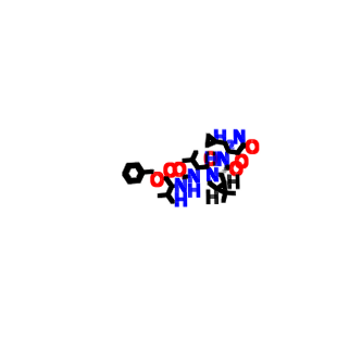 CC(C)[C@H](NC(=O)N[C@H](C(=O)N1C[C@H]2[C@@H]([C@H]1C(=O)NC(CC1CC1)C(=O)C(N)=O)C2(C)C)C(C)C)C(=O)OCc1ccccc1